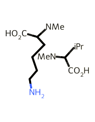 CNC(C(=O)O)C(C)C.CNC(CCCCN)C(=O)O